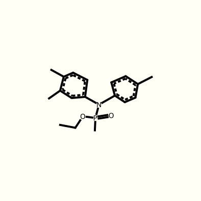 CCOP(C)(=O)N(c1ccc(C)cc1)c1ccc(C)c(C)c1